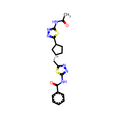 CC(=O)Nc1nnc(C2CC[C@H](Cc3nnc(NC(=O)c4ccccc4)s3)C2)s1